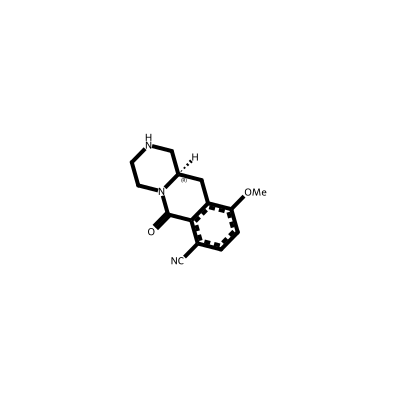 COc1ccc(C#N)c2c1C[C@@H]1CNCCN1C2=O